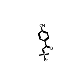 C[S](C)(Br)=CC(=O)c1ccc(C#N)cc1